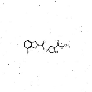 COC(=O)[C@@H]1C[C@@H](OC(=O)N2Cc3cccc(F)c3C2)CN1